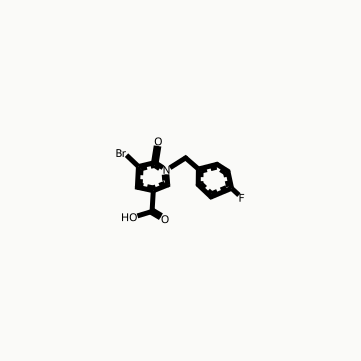 O=C(O)c1cc(Br)c(=O)n(Cc2ccc(F)cc2)c1